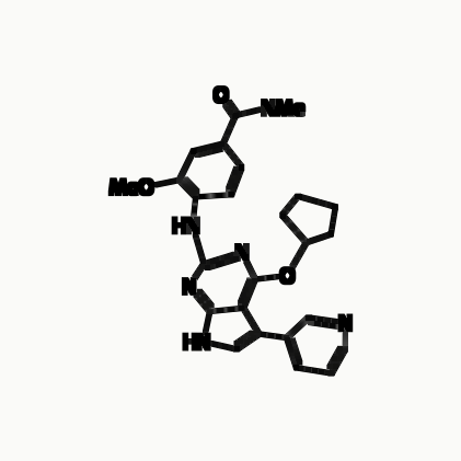 CNC(=O)c1ccc(Nc2nc(OC3CCCC3)c3c(-c4cccnc4)c[nH]c3n2)c(OC)c1